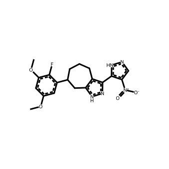 COc1cc(OC)c(F)c(C2CCCc3c(-c4[nH]ncc4[N+](=O)[O-])n[nH]c3C2)c1